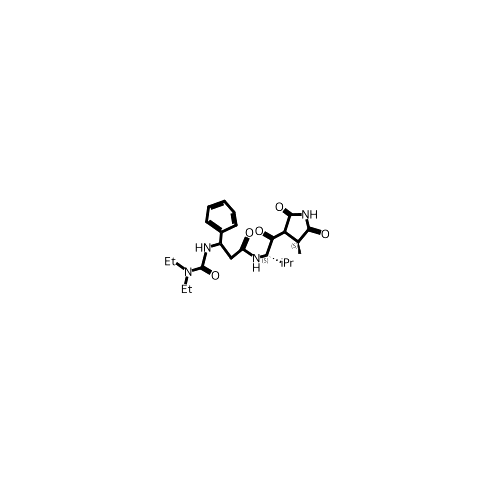 CCN(CC)C(=O)NC(CC(=O)N[C@H](C(=O)C1C(=O)NC(=O)[C@H]1C)C(C)C)c1ccccc1